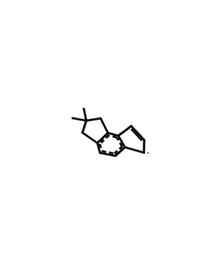 CC1(C)Cc2ccc3c(c2C1)C=C[CH]3